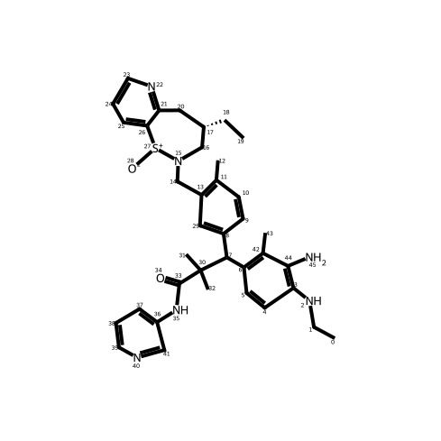 CCNc1ccc(C(c2ccc(C)c(CN3C[C@@H](CC)Cc4ncccc4[S+]3[O-])c2)C(C)(C)C(=O)Nc2cccnc2)c(C)c1N